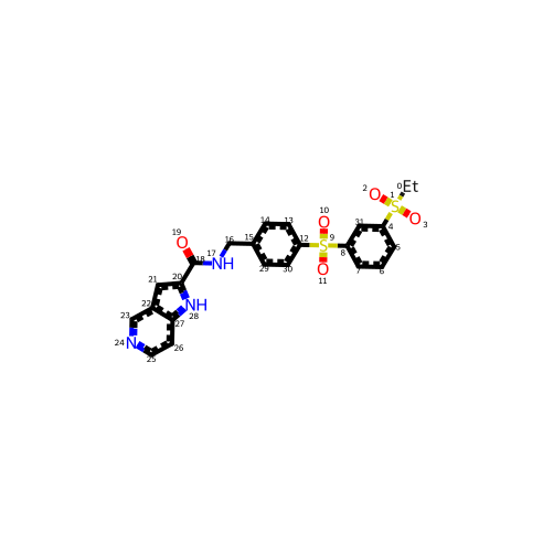 CCS(=O)(=O)c1cccc(S(=O)(=O)c2ccc(CNC(=O)c3cc4cnccc4[nH]3)cc2)c1